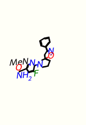 CNc1nc(N2CCCC3(CC(c4ccccc4)=NO3)C2)c(F)cc1C(N)=O